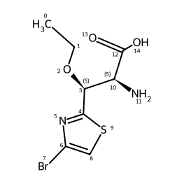 CCO[C@H](c1nc(Br)cs1)[C@H](N)C(=O)O